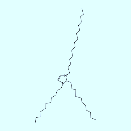 CCCCCCCCCCCCCCCCN1C=CN(CCCCCCCCCCC)C1CCCCCCCCCCC